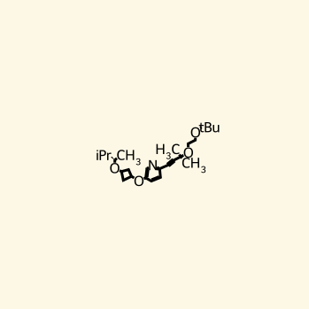 CC(C)[C@H](C)OC1CC(Oc2ccc(C#CC(C)(C)OCCOC(C)(C)C)nc2)C1